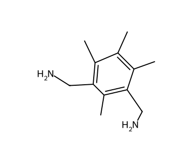 Cc1c(C)c(CN)c(C)c(CN)c1C